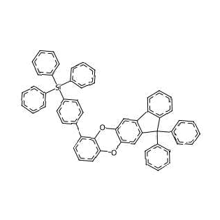 c1ccc(C2(c3ccccc3)c3ccccc3-c3cc4c(cc32)Oc2cccc(-c3ccc([Si](c5ccccc5)(c5ccccc5)c5ccccc5)cc3)c2O4)cc1